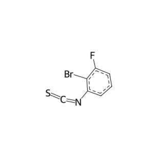 Fc1cccc(N=C=S)c1Br